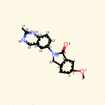 COc1ccc2c(c1)C(=O)N(c1ccc3nc(C)ncc3c1)C2